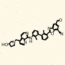 Cc1c(Nc2nccc3c(CN4CC[C@H](O)C4)ccnc23)cccc1-c1cccc(-c2nc3cc(C=O)cc(C#N)c3o2)c1C